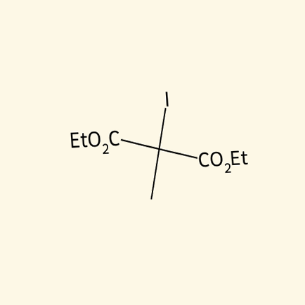 CCOC(=O)C(C)(I)C(=O)OCC